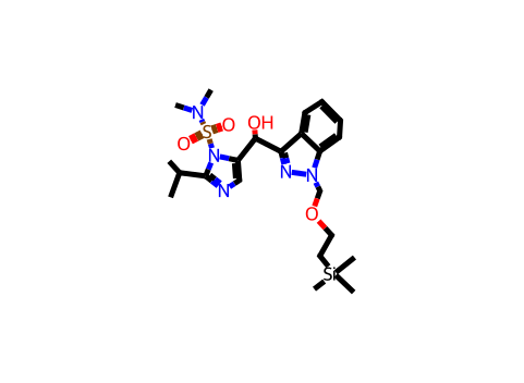 CC(C)c1ncc(C(O)c2nn(COCC[Si](C)(C)C)c3ccccc23)n1S(=O)(=O)N(C)C